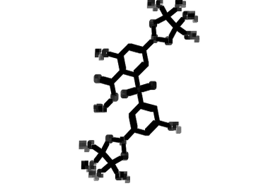 CC(C)(C)OC(=O)c1c(C(F)(F)F)cc(B2OC(C)(C)C(C)(C)O2)cc1S(=O)(=O)c1cc(B2OC(C)(C)C(C)(C)O2)cc(C(F)(F)F)c1